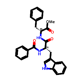 COC(=O)[C@@H](Cc1ccccc1)NC(=O)[C@H](Cc1c[nH]c2ccccc12)NC(=O)c1ccccc1